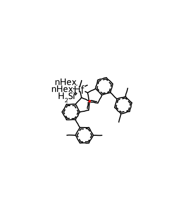 CCCCC[CH2][Hf]([CH3])([CH3])(=[SiH2])([CH2]CCCCC)([CH]1C=Cc2c(-c3cc(C)ccc3C)cccc21)[CH]1C=Cc2c(-c3cc(C)ccc3C)cccc21